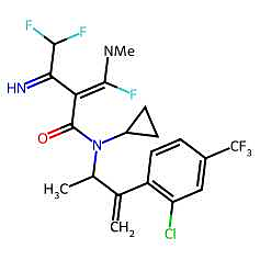 C=C(c1ccc(C(F)(F)F)cc1Cl)C(C)N(C(=O)/C(C(=N)C(F)F)=C(\F)NC)C1CC1